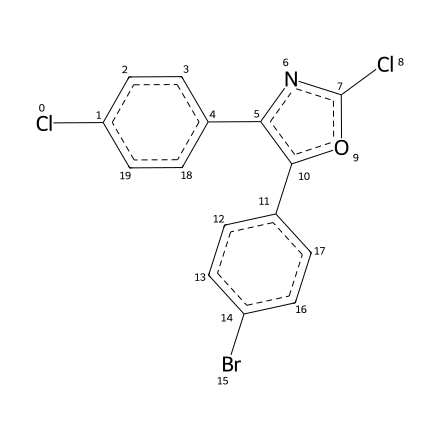 Clc1ccc(-c2nc(Cl)oc2-c2ccc(Br)cc2)cc1